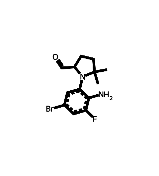 CC1(C)CCC(C=O)N1c1cc(Br)cc(F)c1N